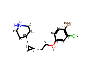 Clc1cc(OCC[C@@H]2C[C@@H]2C2CCNCC2)ccc1Br